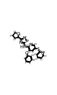 c1ccc(Oc2cc(Sc3ccccn3)cnc2Nc2nc(C3CCCO3)ns2)cc1